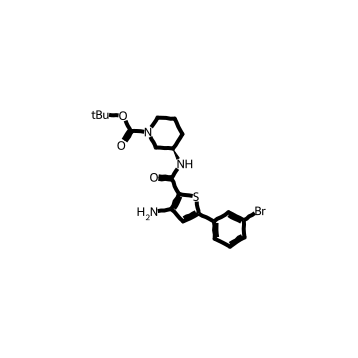 CC(C)(C)OC(=O)N1CCC[C@@H](NC(=O)c2sc(-c3cccc(Br)c3)cc2N)C1